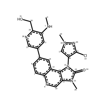 CNc1cc(-c2ccc3ncc4c(c3c2)n(-c2cn(C)nc2Cl)c(=O)n4C)cnc1CO